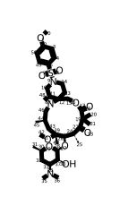 COc1ccc(S(=O)(=O)N2CCC3(CC2)COC(=O)C(C)(C)C(=O)[C@H](C)[C@@H](O[C@@H]2O[C@H](C)C[C@H](N(C)C)[C@H]2O)[C@](C)(OC)C[C@@H](C)CN3C)cc1